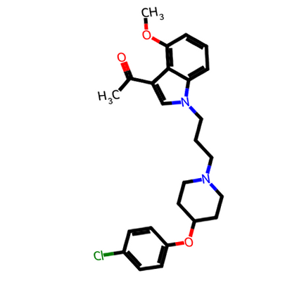 COc1cccc2c1c(C(C)=O)cn2CCCN1CCC(Oc2ccc(Cl)cc2)CC1